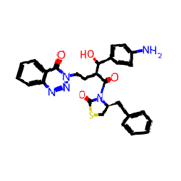 Nc1ccc(C(O)C(CCn2nnc3ccccc3c2=O)C(=O)N2C(=O)SC[C@@H]2Cc2ccccc2)cc1